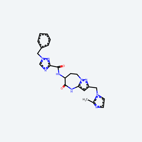 Cc1nccn1Cc1cc2n(n1)CCC(NC(=O)c1ncn(Cc3ccccc3)n1)C(=O)N2